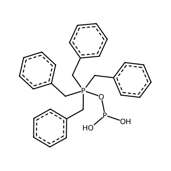 OP(O)OP(Cc1ccccc1)(Cc1ccccc1)(Cc1ccccc1)Cc1ccccc1